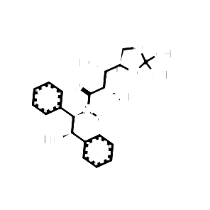 CN(C(=O)[C@@H](N)[C@H](O)[C@H]1COC(C)(C)O1)[C@H](c1ccccc1)[C@H](O)c1ccccc1